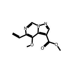 C=Cc1ncn2ncc(C(=O)OC)c2c1OC